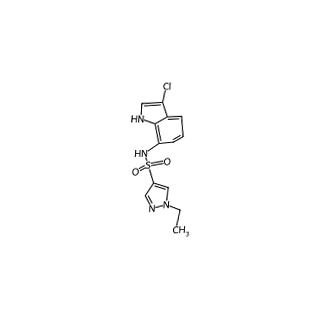 CCn1cc(S(=O)(=O)Nc2cccc3c(Cl)c[nH]c23)cn1